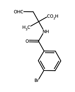 CC(CC=O)(NC(=O)c1cccc(Br)c1)C(=O)O